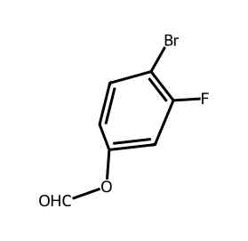 O=COc1ccc(Br)c(F)c1